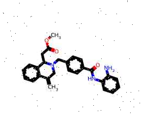 C=C1CN(Cc2ccc(C(=O)Nc3ccccc3N)cc2)C(CC(=O)OC)c2ccccc21